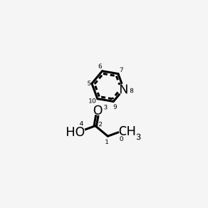 CCC(=O)O.c1ccncc1